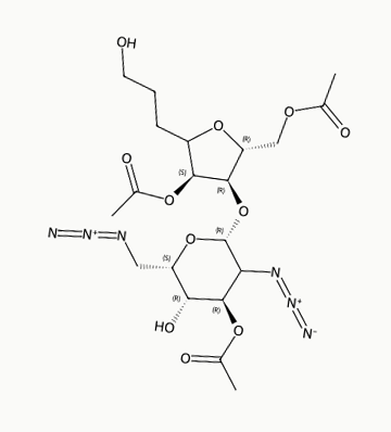 CC(=O)OC[C@H]1OC(CCCO)[C@H](OC(C)=O)[C@@H]1O[C@H]1O[C@@H](CN=[N+]=[N-])[C@@H](O)[C@H](OC(C)=O)C1N=[N+]=[N-]